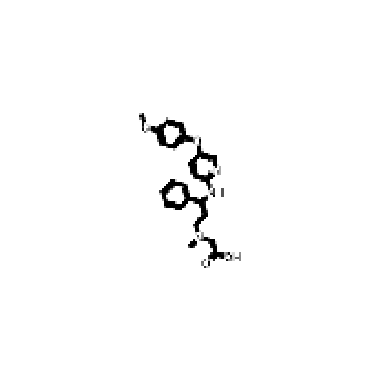 COc1ccc(Oc2ccc(NC(CCN(C)CC(=O)O)c3ccccc3)nc2)cc1